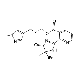 CC(C)C1(C)NC(c2ncccc2C(=O)OCCCc2cnn(C)c2)=NC1=O